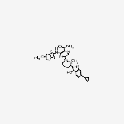 C[C@@H]1[C@H](NC(O)c2ccc(C3CC3)cc2F)CCCN1c1cnc(C(N)=O)c(Nc2nc3c(s2)CN(C)CC3)n1